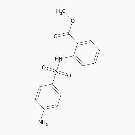 COC(=O)c1ccccc1NS(=O)(=O)c1ccc(N)cc1